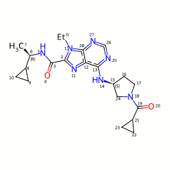 CCn1c(C(=O)N[C@H](C)C2CC2)nc2c(N[C@H]3CCN(C(=O)C4CC4)C3)ncnc21